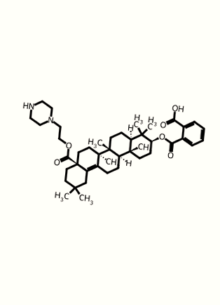 CC1(C)CC[C@]2(C(=O)OCCN3CCNCC3)CC[C@]3(C)C(=C2C1)CC[C@@H]1[C@@]2(C)CC[C@H](OC(=O)c4ccccc4C(=O)O)C(C)(C)[C@@H]2CC[C@]13C